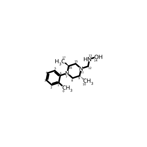 Cc1ccccc1N1C[C@@H](C)N(CNO)C[C@@H]1C